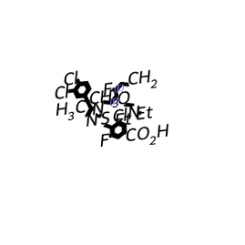 C=C/C=C(F)\C(=C/Cn1c(C(C)(C)c2ccc(Cl)c(Cl)c2)cnc1SCc1c(F)cc(C(=O)O)cc1Cl)OCCN(CC)CC